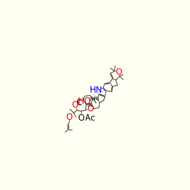 CC(=O)OC1C(C(C)(C)OCC=C(C)C)OCC2CC[C@]3(C)[C@@]4(C)c5[nH]c6cc7c(cc6c5CC4CC[C@@]3(O)C23OC13)CC1C7=CC(C)(C)OC1(C)C